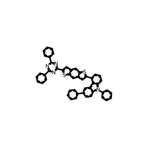 c1ccc(-c2ccc3c(c2)c2c(-c4cc5cc6sc(-c7nc(-c8ccccc8)nc(-c8ccccc8)n7)cc6cc5s4)cccc2n3-c2ccccc2)cc1